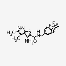 Cc1nnc2sc(C(=O)NCc3ccc(S(F)(F)(F)(F)F)cc3)c(N)c2c1C